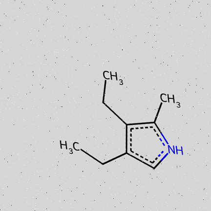 CCc1c[nH]c(C)c1CC